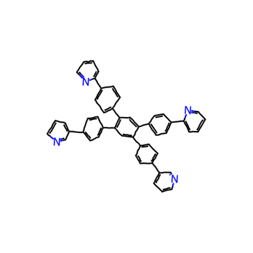 c1ccc(-c2ccc(-c3cc(-c4ccc(-c5ccccn5)cc4)c(-c4ccc(-c5cccnc5)cc4)cc3-c3ccc(-c4cccnc4)cc3)cc2)nc1